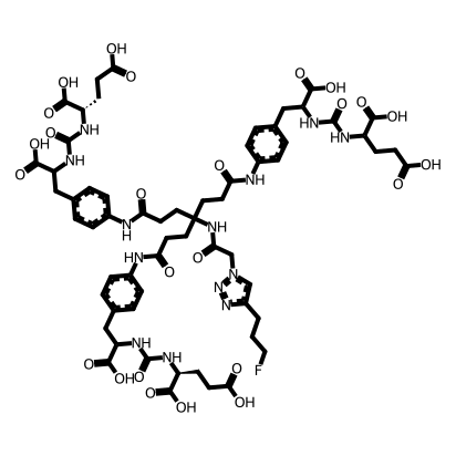 O=C(O)CCC(NC(=O)NC(Cc1ccc(NC(=O)CCC(CCC(=O)Nc2ccc(CC(NC(=O)N[C@@H](CCC(=O)O)C(=O)O)C(=O)O)cc2)(CCC(=O)Nc2ccc(CC(NC(=O)N[C@@H](CCC(=O)O)C(=O)O)C(=O)O)cc2)NC(=O)Cn2cc(CCCF)nn2)cc1)C(=O)O)C(=O)O